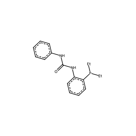 CCP(CC)c1ccccc1NC(=O)Nc1ccccc1